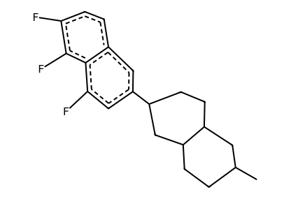 CC1CCC2CC(c3cc(F)c4c(F)c(F)ccc4c3)CCC2C1